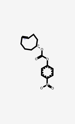 O=C(Oc1ccc([N+](=O)[O-])cc1)O[C@H]1CC/C=C/CCC1